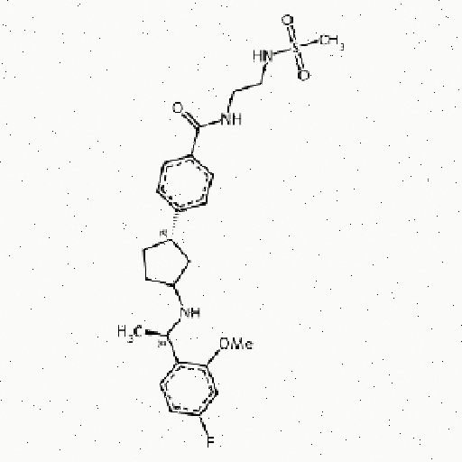 COc1cc(F)ccc1[C@@H](C)NC1CC[C@H](c2ccc(C(=O)NCCNS(C)(=O)=O)cc2)C1